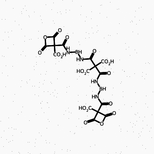 O=C(O)C(C(=O)O)(C(=O)NBNC(=O)C1(C(=O)O)C(=O)OC1=O)C(=O)NBNC(=O)C1(C(=O)O)C(=O)OC1=O